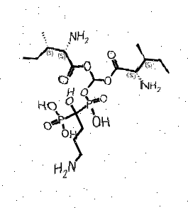 CC[C@H](C)[C@H](N)C(=O)OC(OC(=O)[C@@H](N)[C@@H](C)CC)OP(=O)(O)C(O)(CCCN)P(=O)(O)O